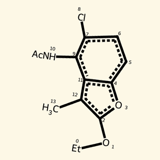 CCOc1oc2ccc(Cl)c(NC(C)=O)c2c1C